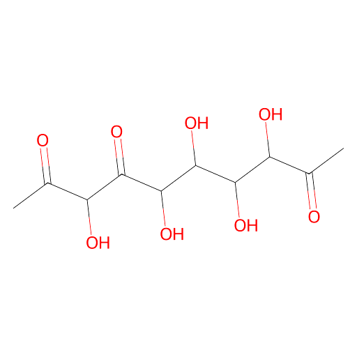 CC(=O)C(O)C(=O)C(O)C(O)C(O)C(O)C(C)=O